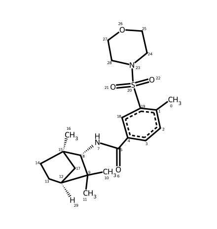 Cc1ccc(C(=O)N[C@@H]2C(C)(C)[C@H]3CC[C@]2(C)C3)cc1S(=O)(=O)N1CCOCC1